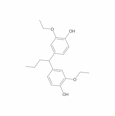 CCCC(c1ccc(O)c(OCC)c1)c1ccc(O)c(OCC)c1